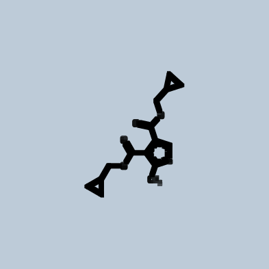 Cc1scc(C(=O)OCC2CC2)c1C(=O)OCC1CC1